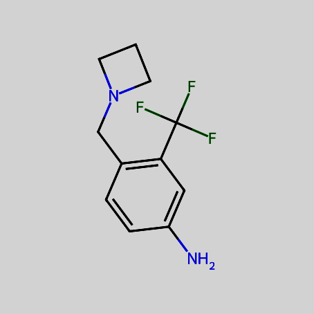 Nc1ccc(CN2CCC2)c(C(F)(F)F)c1